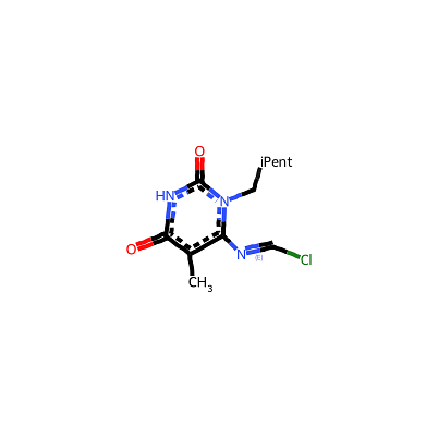 CCCC(C)Cn1c(/N=C/Cl)c(C)c(=O)[nH]c1=O